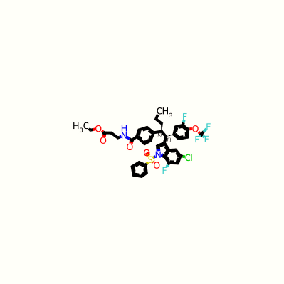 CCC[C@H](c1ccc(C(=O)NCCC(=O)OCC)cc1)[C@H](c1ccc(OC(F)(F)F)c(F)c1)c1cn(S(=O)(=O)c2ccccc2)c2c(F)cc(Cl)cc12